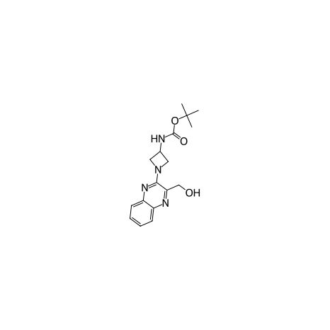 CC(C)(C)OC(=O)NC1CN(c2nc3ccccc3nc2CO)C1